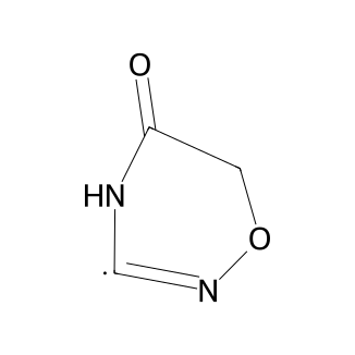 O=C1CON=[C]N1